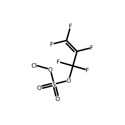 O=S(=O)(OCl)OC(F)(F)C(F)=C(F)F